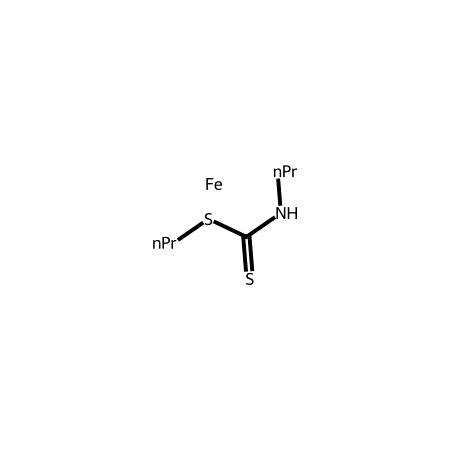 CCCNC(=S)SCCC.[Fe]